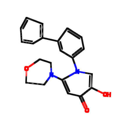 O=c1cc(N2CCOCC2)n(-c2cccc(-c3ccccc3)c2)cc1O